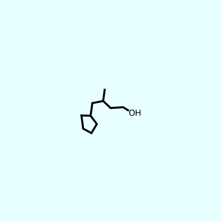 CC(CCO)CC1CCCC1